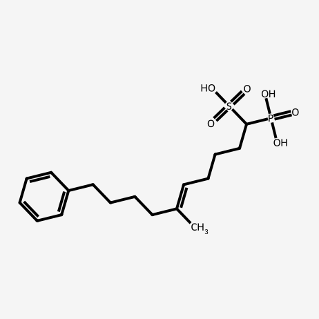 CC(=CCCCC(P(=O)(O)O)S(=O)(=O)O)CCCCc1ccccc1